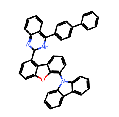 c1ccc(-c2ccc(C3=c4ccccc4=NC(c4cccc5oc6c(-n7c8ccccc8c8ccccc87)cccc6c45)N3)cc2)cc1